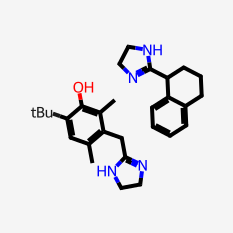 Cc1cc(C(C)(C)C)c(O)c(C)c1CC1=NCCN1.c1ccc2c(c1)CCCC2C1=NCCN1